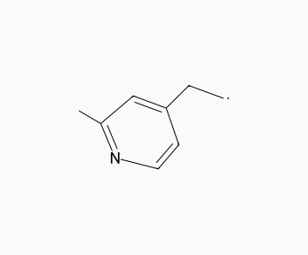 [CH2]Cc1ccnc(C)c1